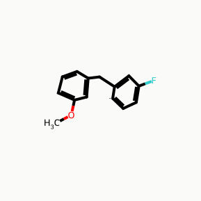 COc1cccc(Cc2[c]ccc(F)c2)c1